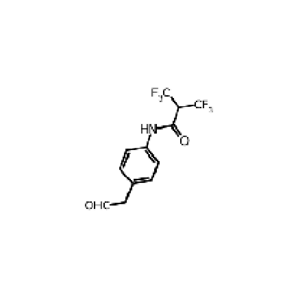 O=CCc1ccc(NC(=O)C(C(F)(F)F)C(F)(F)F)cc1